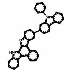 c1ccc(-n2c3ccccc3c3ccc(-c4ccc5sc6c7[nH]c8ccccc8c7c7ccccc7c6c5c4)cc32)cc1